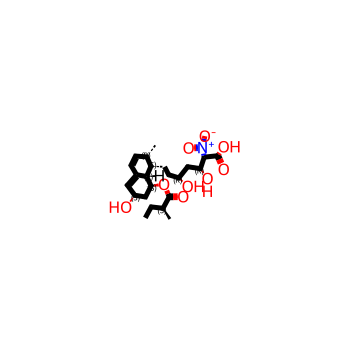 CC[C@H](C)C(=O)O[C@H]1C[C@H](O)C=C2C=C[C@H](C)[C@H](CC[C@@H](O)C[C@@H](O)C(C(=O)O)[N+](=O)[O-])[C@H]21